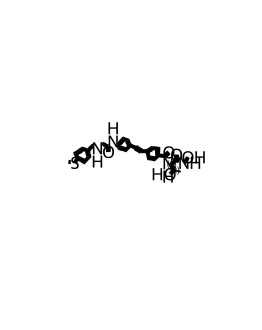 CSc1ccc(CNCC(=O)Nc2ccc(C#Cc3ccc(C(=O)N[C@H](C(=O)NO)[C@@H](C)O)cc3)cc2)cc1